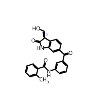 Cc1ccccc1C(=O)Nc1cccc(C(=O)c2ccc3c(c2)NC(=O)/C3=C\O)c1